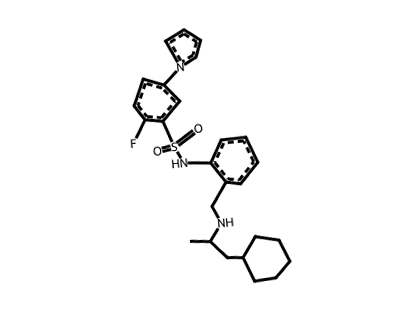 CC(CC1CCCCC1)NCc1ccccc1NS(=O)(=O)c1cc(-n2cccc2)ccc1F